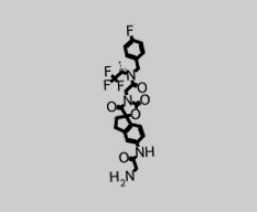 C[C@H](N(Cc1ccc(F)cc1)C(=O)CN1C(=O)OC2(CCc3cc(NC(=O)CN)ccc32)C1=O)C(F)(F)F